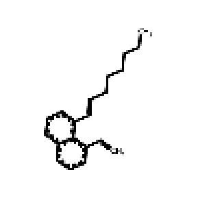 C=Cc1cccc2cccc(C=CCCCCCC)c12